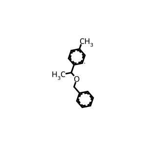 Cc1c[c]c(C(C)OCc2ccccc2)cc1